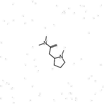 C=C(CC1CCCN1C)N(C)C